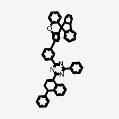 C1=CC2c3ccccc3C3(c4ccccc4Oc4cc(-c5cccc(-c6nc(C7=CCC(c8ccccc8)c8ccccc87)nc(-c7ccccc7)n6)c5)ccc43)C2C=C1